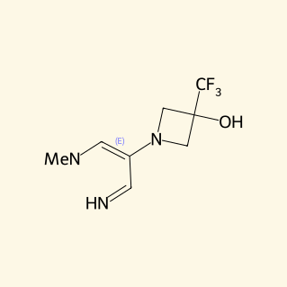 CN/C=C(\C=N)N1CC(O)(C(F)(F)F)C1